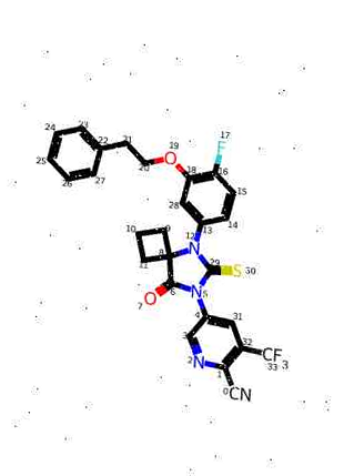 N#Cc1ncc(N2C(=O)C3(CCC3)N(c3ccc(F)c(OCCc4ccccc4)c3)C2=S)cc1C(F)(F)F